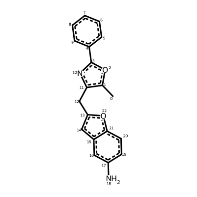 Cc1oc(-c2ccccc2)nc1Cc1cc2cc(N)ccc2o1